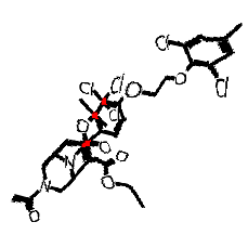 CCOC(=O)C1=C(c2ccc(OCCOc3c(Cl)cc(C)cc3Cl)cc2)CC2CN(C(C)=O)CC1N2C(=O)OC(C)(C)C(Cl)(Cl)Cl